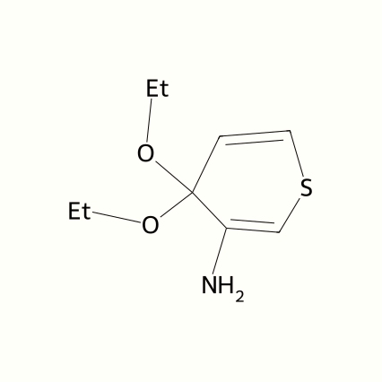 CCOC1(OCC)C=CSC=C1N